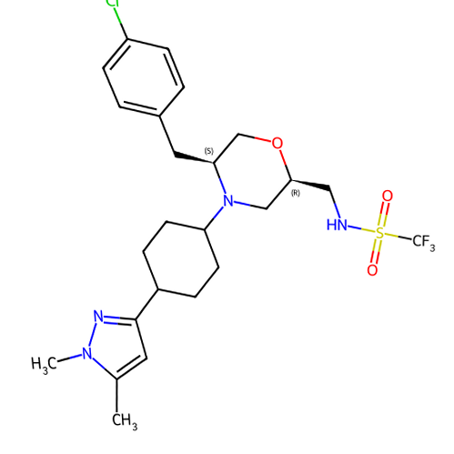 Cc1cc(C2CCC(N3C[C@H](CNS(=O)(=O)C(F)(F)F)OC[C@@H]3Cc3ccc(Cl)cc3)CC2)nn1C